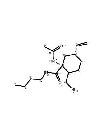 C=C[C@@H]1CCC(CN)[C@@](NC(C)=O)(C(=O)NCCCC)C1